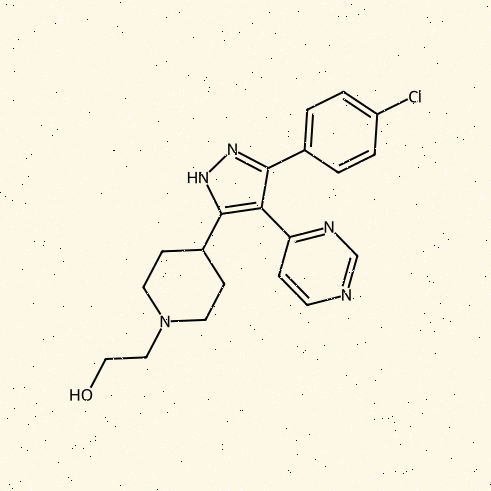 OCCN1CCC(c2[nH]nc(-c3ccc(Cl)cc3)c2-c2ccncn2)CC1